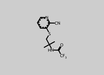 CC(C)(CSc1cccnc1C#N)NC(=O)C(F)(F)F